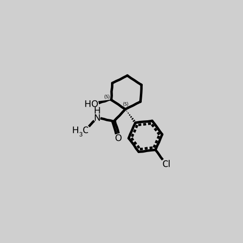 CNC(=O)[C@]1(c2ccc(Cl)cc2)CCCC[C@@H]1O